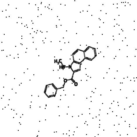 CBn1c(C(=O)OCc2ccccc2)cc2c3ccccc3ccc21